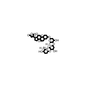 CC1OC(OC2C(O)CC(OC3C(O)CC(OC4CCC5(C)C(CCC6C5CC(O)C5(C)C(C7=CC(=O)OC7)CCC65O)C4)OC3C)OC2C)CCC1O